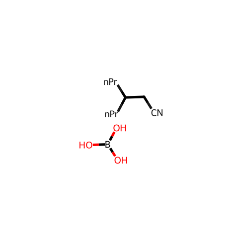 CCCC(CC#N)CCC.OB(O)O